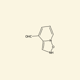 O=CC1=CC=CN2ONC=C12